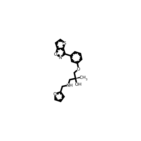 C[C@@](O)(CNCc1ccco1)COc1cccc(-c2noc3ccsc23)c1